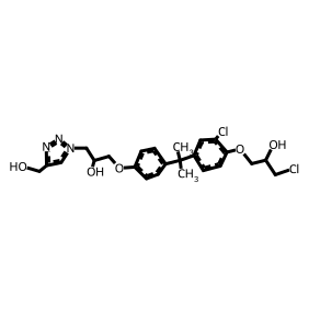 CC(C)(c1ccc(OCC(O)Cn2cc(CO)nn2)cc1)c1ccc(OCC(O)CCl)c(Cl)c1